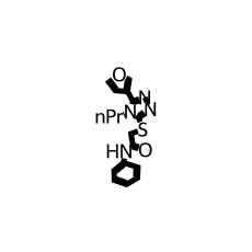 CCCn1c(SCC(=O)Nc2ccccc2)nnc1-c1ccoc1